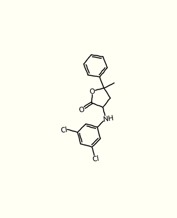 CC1(c2ccccc2)CC(Nc2cc(Cl)cc(Cl)c2)C(=O)O1